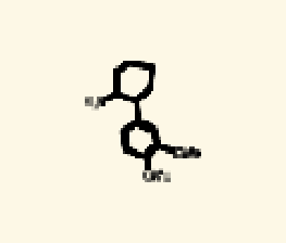 COc1ccc(C2CCCCC2N)cc1OC